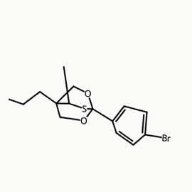 CCCC12COC(c3ccc(Br)cc3)(OC1)SC2C